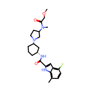 COCC(=O)N(C)C1CCN([C@H]2CCC[C@@H](NC(=O)c3cc4c(F)ccc(C)c4[nH]3)C2)C1